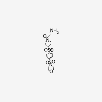 NCCC(=O)N1CCC(S(=O)(=O)c2ccc(S(=O)(=O)N3CCOCC3)cc2)CC1